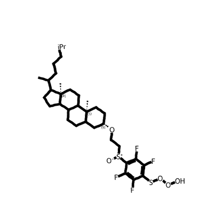 CC(C)CCCC(C)C1CCC2C3CCC4C[C@@H](OCC[S+]([O-])c5c(F)c(F)c(SOOO)c(F)c5F)CC[C@]4(C)C3CC[C@]12C